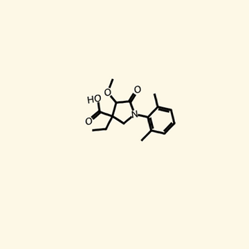 CCC1(C(=O)O)CN(c2c(C)cccc2C)C(=O)C1OC